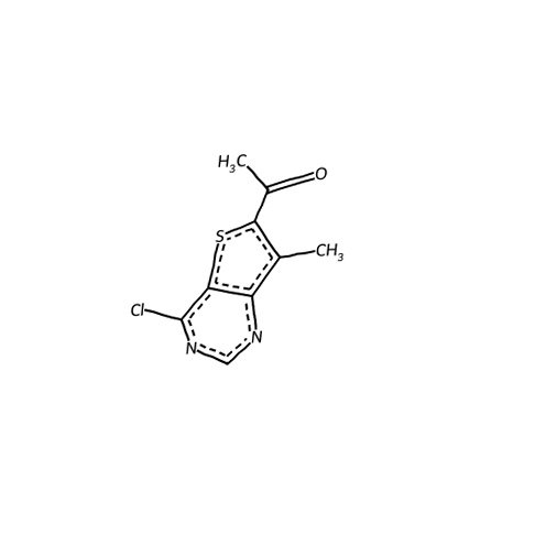 CC(=O)c1sc2c(Cl)ncnc2c1C